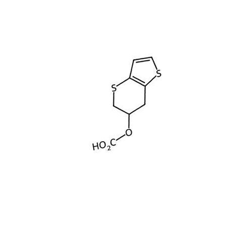 O=C(O)OC1CSc2ccsc2C1